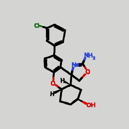 NC1=NC2(CO1)c1cc(-c3cccc(Cl)c3)ccc1O[C@H]1CC[C@H](O)C[C@@H]12